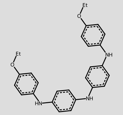 CCOc1ccc(Nc2ccc(Nc3ccc(Nc4ccc(OCC)cc4)cc3)cc2)cc1